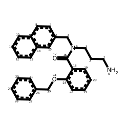 NCCCN(Cc1ccc2ccccc2c1)C(=O)c1ccccc1OCc1ccccc1